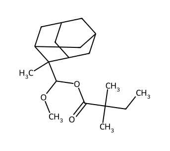 CCC(C)(C)C(=O)OC(OC)C1(C)C2CC3CC(C2)CC1C3